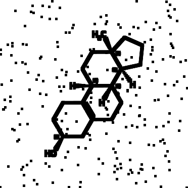 C[C@@]12CCC[C@H]1[C@@H]1CCC3=C(CC[C@H](O)C3)[C@H]1CC2